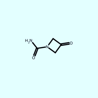 NC(=O)N1CC(=O)C1